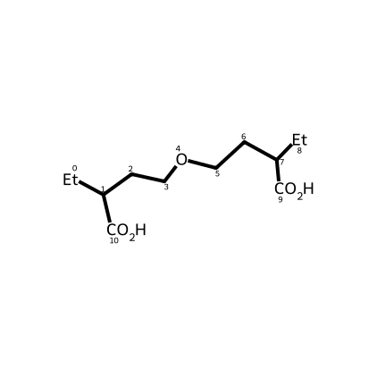 CCC(CCOCCC(CC)C(=O)O)C(=O)O